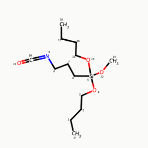 CCCCO[Si](CCCN=C=O)(OC)OCCCC